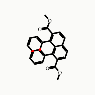 COC(=O)c1ccc2ccc(C(=O)OC)c(-c3ccccc3)c2c1C1=CC=CCC1